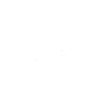 COC(=O)Oc1ccc(C(N)=O)cc1OC(=O)OC